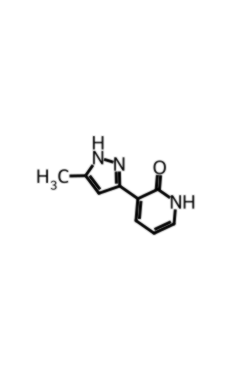 Cc1cc(-c2ccc[nH]c2=O)n[nH]1